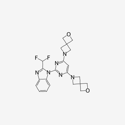 FC(F)c1nc2ccccc2n1-c1nc(N2CC3(COC3)C2)cc(N2CC3(COC3)C2)n1